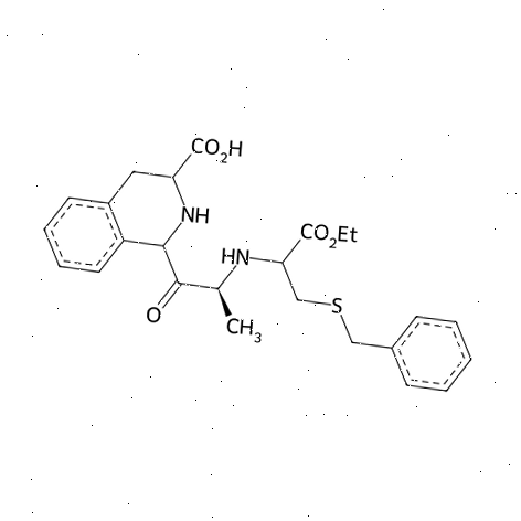 CCOC(=O)C(CSCc1ccccc1)N[C@@H](C)C(=O)C1NC(C(=O)O)Cc2ccccc21